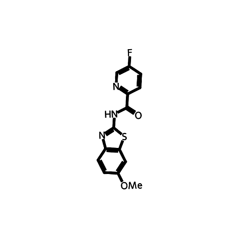 COc1ccc2nc(NC(=O)c3ccc(F)cn3)sc2c1